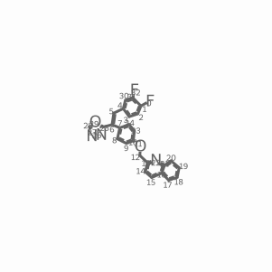 Fc1ccc(/C=C(\c2ccc(OCc3ccc4ccccc4n3)cc2)c2nnco2)cc1F